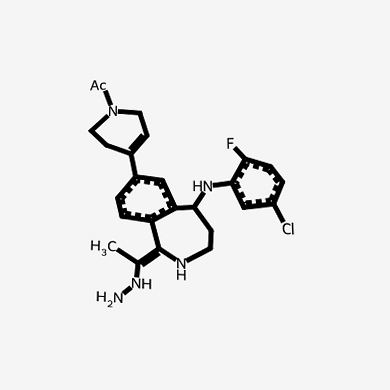 CC(=O)N1CC=C(c2ccc3c(c2)C(Nc2cc(Cl)ccc2F)CCN/C3=C(/C)NN)CC1